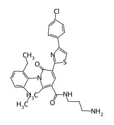 CCc1cccc(CC)c1-n1c(C)c(C(=O)NCCCN)cc(-c2nc(-c3ccc(Cl)cc3)cs2)c1=O